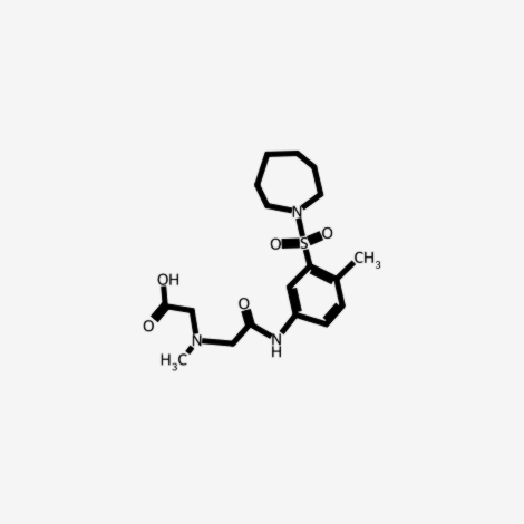 Cc1ccc(NC(=O)CN(C)CC(=O)O)cc1S(=O)(=O)N1CCCCCC1